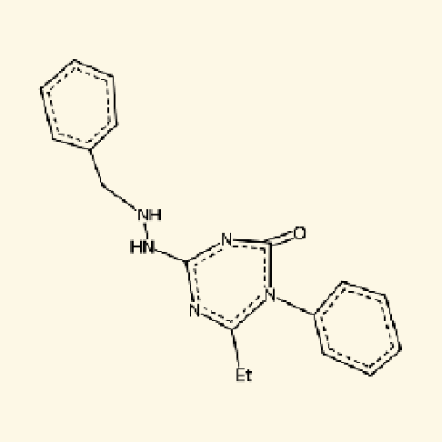 CCc1nc(NNCc2ccccc2)nc(=O)n1-c1ccccc1